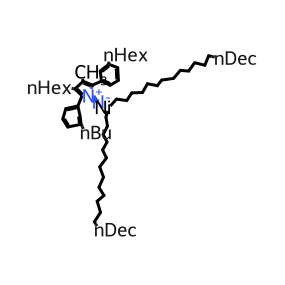 CCCCCCC1=C(c2cccc(CCCC)c2)[N+](=[N-])C(c2cccc(CCCCCC)c2)=C1C.CCCCCCCCCCCCCCCCCCCCCC[CH2][Ni][CH2]CCCCCCCCCCCCCCCCCCCCCC